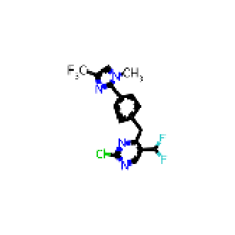 Cn1cc(C(F)(F)F)nc1-c1ccc(Cc2nc(Cl)ncc2C(F)F)cc1